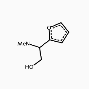 CNC(CO)c1ccco1